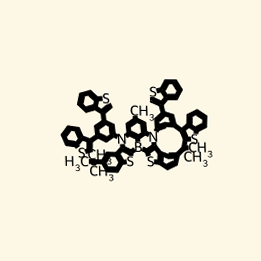 Cc1cc2c3c(c1)N1c4cc(-c5csc6ccccc56)cc(c4)-c4c(sc5ccccc45)C(C)(C)c4ccc5sc(c1c5c4)B3c1sc3ccc(C(C)(C)C)cc3c1N2c1cc(-c2csc3ccccc23)cc(-c2csc3ccccc23)c1